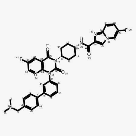 CN(C)Cc1ccc(-c2cccc(-n3c(=O)n([C@H]4CC[C@@H](NC(=O)c5cn6cc(F)ccc6n5)CC4)c(=O)c4cc(F)cnc43)c2)cc1